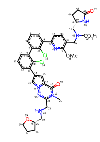 COc1nc(-c2cccc(-c3cccc(-c4cc5c(=O)n(C)c(CNC[C@@H]6CCCO6)nn5c4)c3Cl)c2Cl)ccc1CN(C[C@@H]1CCC(=O)N1)C(=O)O